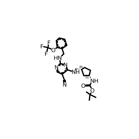 CC(C)(C)OC(=O)N[C@H]1CC[C@@H](CNc2nc(NCc3ccccc3OC(F)(F)F)ncc2C#N)C1